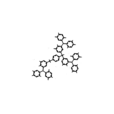 COc1cc(C(C)(C)c2ccc(C(C)(c3cc(OC)c(O)c(C(c4cc(C)c(O)cc4C)c4cc(C)c(O)cc4C)c3)c3cc(OC)c(O)c(C(c4cc(C)c(O)cc4C)c4cc(C)c(O)cc4C)c3)cc2)cc(C(c2cc(C)c(O)cc2C)c2cc(C)c(O)cc2C)c1O